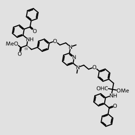 COC(=O)[C@H](Cc1ccc(OCCN(C)c2cccc(N(C)CCOc3ccc(CC(C=O)(Nc4ccccc4C(=O)c4ccccc4)OC)cc3)n2)cc1)Nc1ccccc1C(=O)c1ccccc1